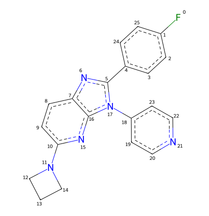 Fc1ccc(-c2nc3ccc(N4CCC4)nc3n2-c2ccncc2)cc1